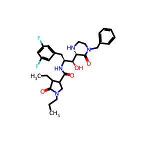 CCCN1CC(C(=O)N[C@@H](Cc2cc(F)cc(F)c2)[C@H](O)[C@@H]2NCCN(Cc3ccccc3)C2=O)C(CC)C1=O